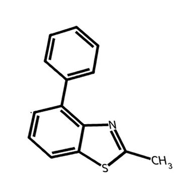 Cc1nc2c(-c3ccccc3)[c]ccc2s1